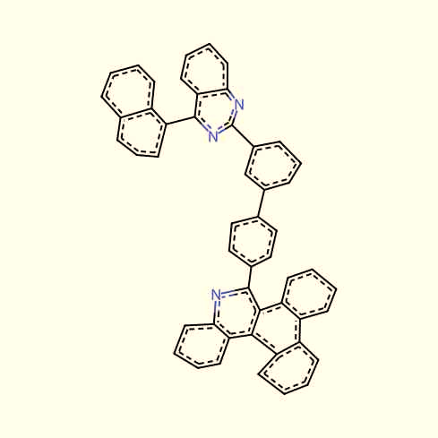 c1cc(-c2ccc(-c3nc4ccccc4c4c5ccccc5c5ccccc5c34)cc2)cc(-c2nc(-c3cccc4ccccc34)c3ccccc3n2)c1